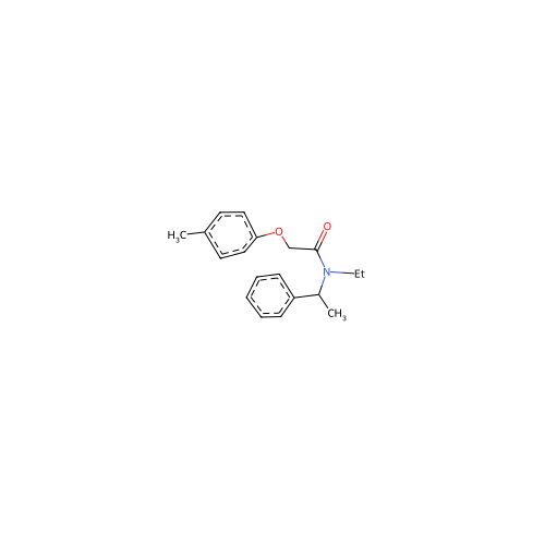 CCN(C(=O)COc1ccc(C)cc1)C(C)c1ccccc1